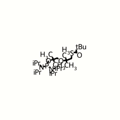 CC(C)N(C(C)C)P(OC(C)(C)COC(C)(C)CSC(=O)C(C)(C)C)N(C(C)C)C(C)C